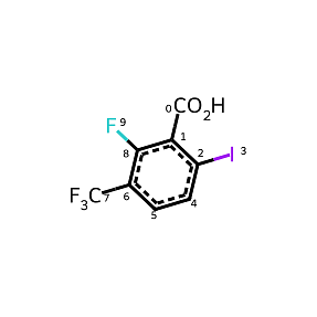 O=C(O)c1c(I)ccc(C(F)(F)F)c1F